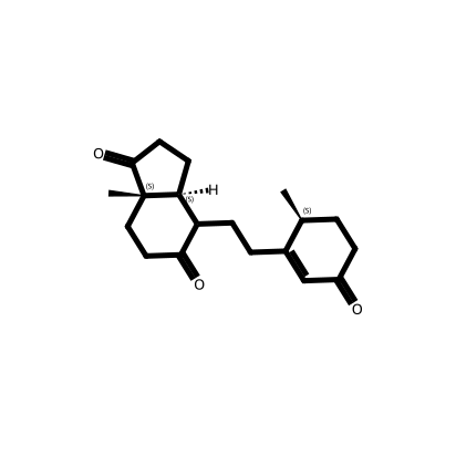 C[C@H]1CCC(=O)C=C1CCC1C(=O)CC[C@]2(C)C(=O)CC[C@@H]12